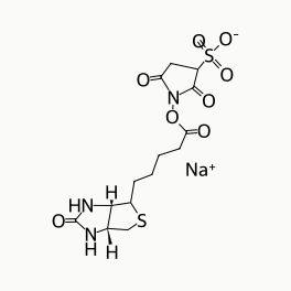 O=C1N[C@H]2CSC(CCCCC(=O)ON3C(=O)CC(S(=O)(=O)[O-])C3=O)[C@H]2N1.[Na+]